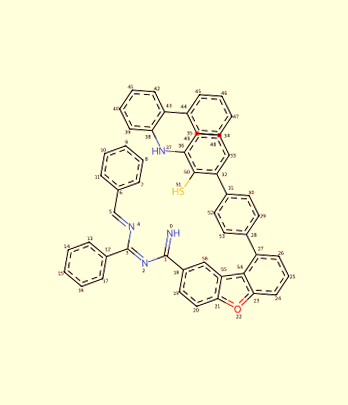 N=C(/N=C(\N=C\c1ccccc1)c1ccccc1)c1ccc2oc3cccc(-c4ccc(-c5cccc(Nc6ccccc6-c6ccccc6)c5S)cc4)c3c2c1